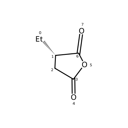 CC[C@H]1CC(=O)OC1=O